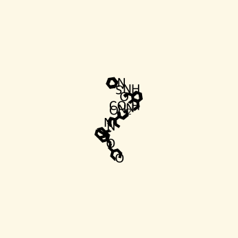 Cc1c(-c2ccc(N3CCc4cccc(C(=O)Nc5nc6ccccc6s5)c4C3)nc2OC(=O)O)cnn1CC12CC3CC(C1)CC(OCC1CCOCC1)(C3)C2